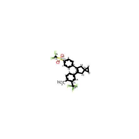 Cc1ccc(C2=C(c3ccc(S(=O)(=O)C(F)F)cc3)CC3(CC3)C2)cc1C(F)(F)F